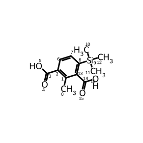 Cc1c(C(=O)O)ccc([Si](C)(C)C)c1C(=O)O